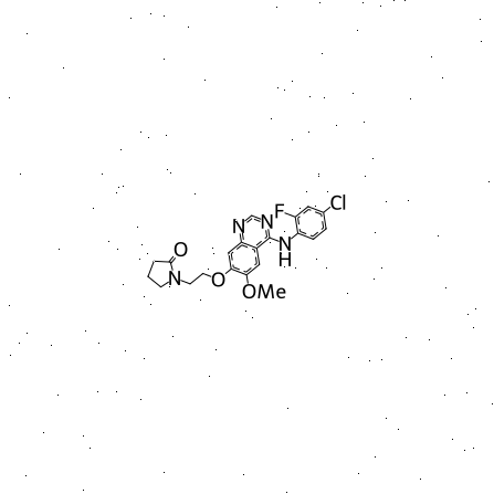 COc1cc2c(Nc3ccc(Cl)cc3F)ncnc2cc1OCCN1CCCC1=O